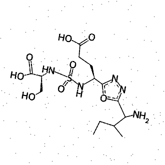 CCC(C)C(N)c1nnc([C@H](CCC(=O)O)NS(=O)(=O)N[C@@H](CO)C(=O)O)o1